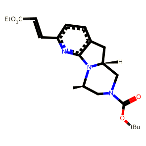 CCOC(=O)/C=C/c1ccc2c(n1)N1[C@H](C2)CN(C(=O)OC(C)(C)C)C[C@H]1C